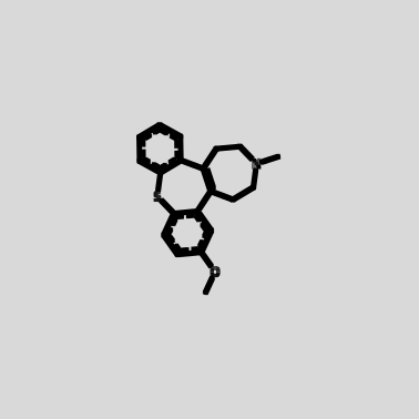 COc1ccc2c(c1)C1=C(CCN(C)CC1)c1ccccc1S2